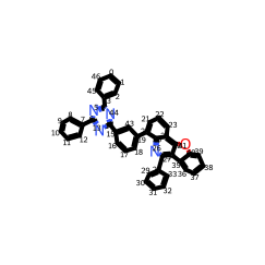 c1ccc(-c2nc(-c3ccccc3)nc(-c3cccc(-c4cccc5c4nc(-c4ccccc4)c4c6ccccc6oc54)c3)n2)cc1